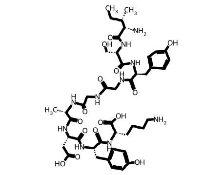 CC[C@H](C)[C@H](N)C(=O)N[C@@H](CO)C(=O)N[C@@H](Cc1ccc(O)cc1)C(=O)NCC(=O)NCC(=O)N[C@@H](C)C(=O)N[C@@H](CC(=O)O)C(=O)N[C@@H](Cc1ccc(O)cc1)C(=O)N[C@@H](CCCCN)C(=O)O